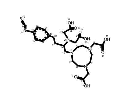 O=C(O)CN1CCN(CC(=O)O)CCN(CC(CCc2ccc(N=C=S)cc2)N(CC(=O)O)CC(=O)O)CC1